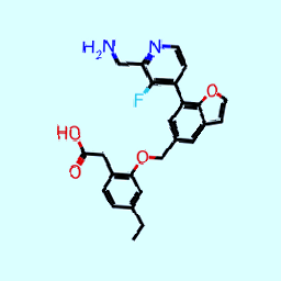 CCc1ccc(CC(=O)O)c(OCc2cc(-c3ccnc(CN)c3F)c3occc3c2)c1